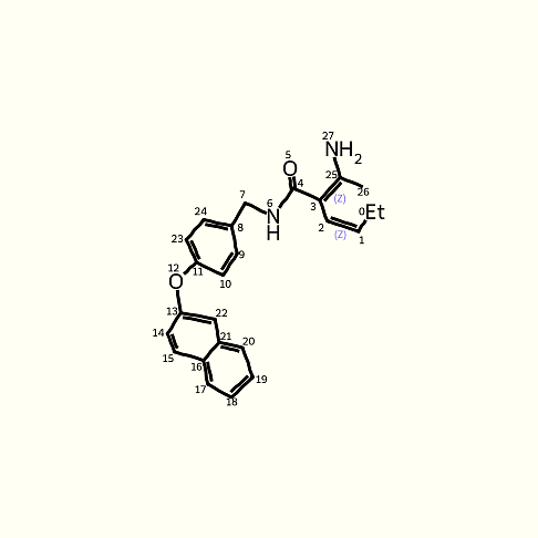 CC/C=C\C(C(=O)NCc1ccc(Oc2ccc3ccccc3c2)cc1)=C(/C)N